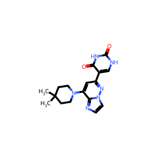 CC1(C)CCN(c2cc(-c3c[nH]c(=O)[nH]c3=O)nn3ccnc23)CC1